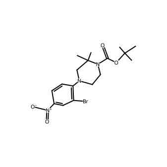 CC(C)(C)OC(=O)N1CCN(c2ccc([N+](=O)[O-])cc2Br)CC1(C)C